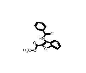 COC(=O)c1oc2ccccc2c1NC(=O)c1ccccc1